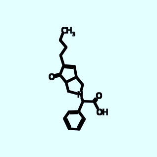 CCCCC1=CC2CN(C(C(=O)O)c3ccccc3)CC2C1=O